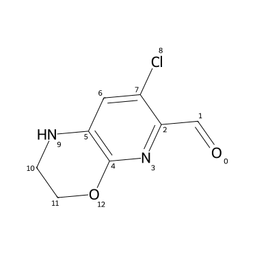 O=Cc1nc2c(cc1Cl)NCCO2